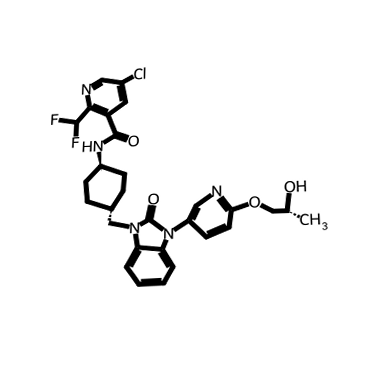 C[C@@H](O)COc1ccc(-n2c(=O)n(C[C@H]3CC[C@H](NC(=O)c4cc(Cl)cnc4C(F)F)CC3)c3ccccc32)cn1